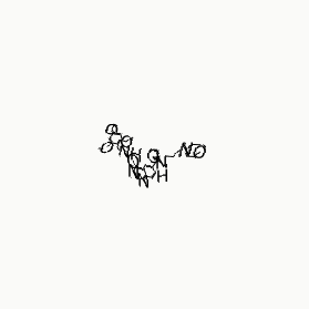 COc1cc(OC)c(CNCOc2ncnc3ccc(C(=O)NCCCN4CCOCC4)cc23)c(OC)c1